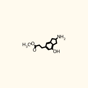 COC(=O)CCc1cc(O)c2c(c1)CC(N)C2